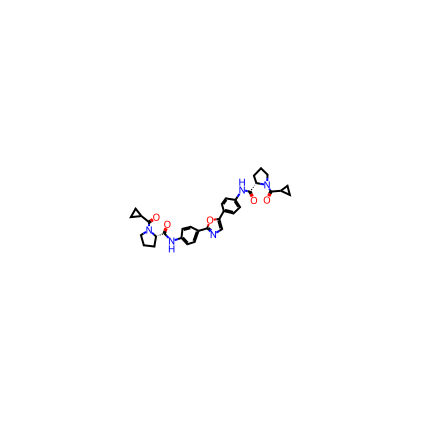 O=C(Nc1ccc(-c2cnc(-c3ccc(NC(=O)[C@@H]4CCCN4C(=O)C4CC4)cc3)o2)cc1)[C@@H]1CCCN1C(=O)C1CC1